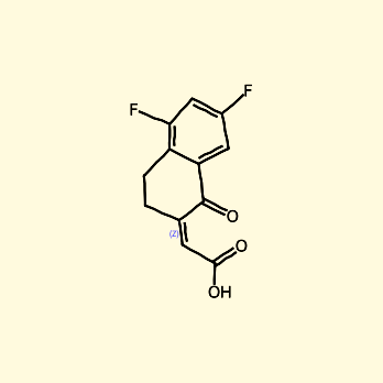 O=C(O)/C=C1/CCc2c(F)cc(F)cc2C1=O